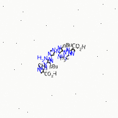 CCCCc1nn(-c2cc(-n3nc(CCCC)c(/N=N/c4c(C(=O)O)cnn4C)c3N)ncn2)c(N)c1/N=N/c1c(C(=O)O)cnn1C